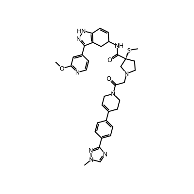 COc1cc(-c2n[nH]c3c2CC(NC(=O)[C@]2(SC)CCN(CC(=O)N4CC=C(c5ccc(-c6ncn(C)n6)cc5)CC4)C2)C=C3)ccn1